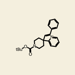 CC(C)(C)OC(=O)N1CCC(/C=C/c2ccccc2)(c2ccccn2)CC1